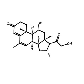 CC1=C[C@@H]2[C@H]([C@H](O)C[C@@]3(C)[C@H]2C[C@@H](C)[C@@H]3C(=O)CO)[C@@]2(C)CCC(=O)C=C12